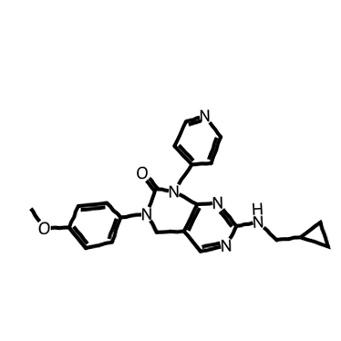 COc1ccc(N2Cc3cnc(NCC4CC4)nc3N(c3ccncc3)C2=O)cc1